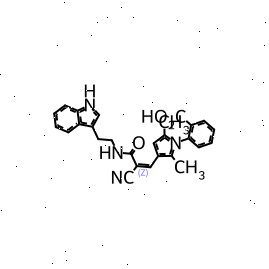 Cc1cc(/C=C(/C#N)C(=O)NCCc2c[nH]c3ccccc23)c(C)n1-c1ccccc1C(=O)O